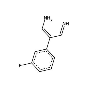 N=C/C(=C\N)c1cccc(F)c1